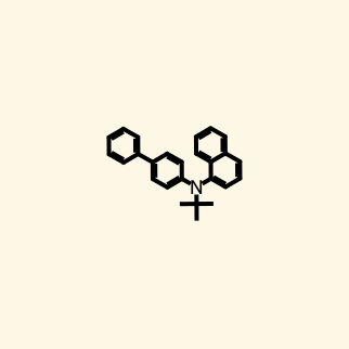 CC(C)(C)N(c1ccc(-c2ccccc2)cc1)c1cccc2ccccc12